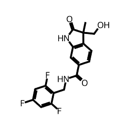 CC1(CO)C(=O)Nc2cc(C(=O)NCc3c(F)cc(F)cc3F)ccc21